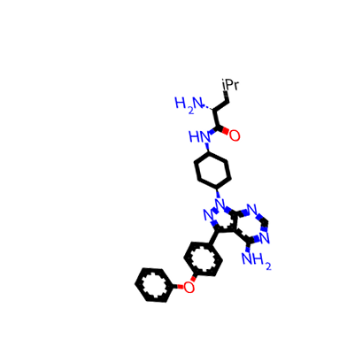 CC(C)C[C@@H](N)C(=O)N[C@H]1CC[C@@H](n2nc(-c3ccc(Oc4ccccc4)cc3)c3c(N)ncnc32)CC1